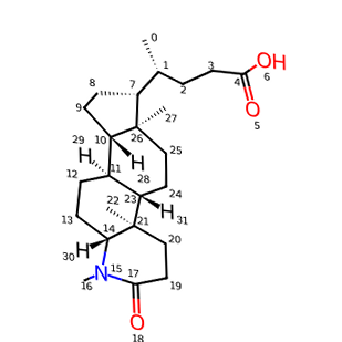 C[C@H](CCC(=O)O)[C@H]1CC[C@H]2[C@@H]3CC[C@H]4N(C)C(=O)CC[C@]4(C)[C@H]3CC[C@]12C